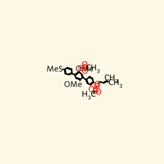 COc1cc(-c2ccc(SC)cc2)c(OC)c(OS(C)(=O)=O)c1-c1ccc(OCC=C(C)C)c(OS(C)(=O)=O)c1